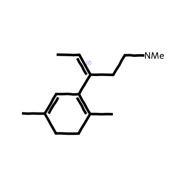 C/C=C(/CCNC)C1=C(C)CCC(C)=C1